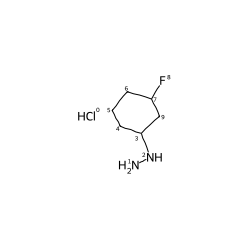 Cl.NNC1CCCC(F)C1